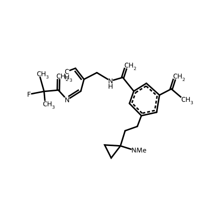 C=C(C)c1cc(CCC2(NC)CC2)cc(C(=C)NCC(/C=N\C(=C)C(C)(C)F)=C/C)c1